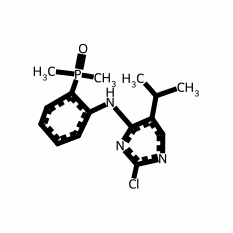 CC(C)c1cnc(Cl)nc1Nc1ccccc1P(C)(C)=O